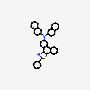 c1ccc(C2Nc3c(c4ccccc4c4cc(N(c5ccc6ccccc6c5)c5ccc6ccccc6c5)ccc34)S2)cc1